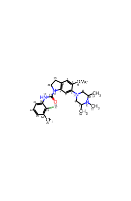 COc1cc2c(cc1N1CC(C)N(C)C(C)C1)N(C(=O)Nc1cccc(C(F)(F)F)c1F)CC2